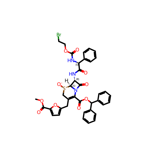 COC(=O)c1ccc(CC2=C(C(=O)OC(c3ccccc3)c3ccccc3)N3C(=O)[C@@H](NC(=O)[C@@H](NC(=O)OCCBr)c4ccccc4)[C@@H]3[S+]([O-])C2)o1